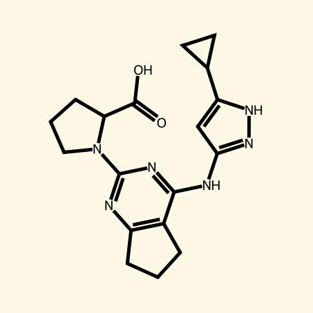 O=C(O)C1CCCN1c1nc2c(c(Nc3cc(C4CC4)[nH]n3)n1)CCC2